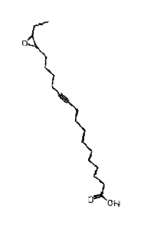 CCC1OC1CCCCC#CCCCCCCCCCC(=O)O